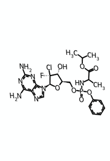 CC(C)OC(=O)C(C)NP(=O)(OC[C@H]1O[C@@H](n2cnc3c(N)nc(N)nc32)[C@@](F)(Cl)[C@@H]1O)Oc1ccccc1